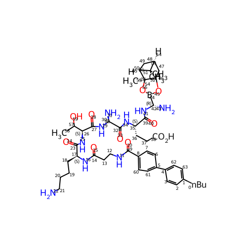 CCCCc1ccc(-c2ccc(C(=O)NCCC(=O)N[C@@H](CCCCN)C(=O)N[C@H](C(=O)N[C@@H](N)C(=O)N[C@@H](CCC(=O)O)C(=O)N[C@@H](N)B3OC4C[C@@H]5C[C@@H](C5(C)C)[C@]4(C)O3)C(C)O)cc2)cc1